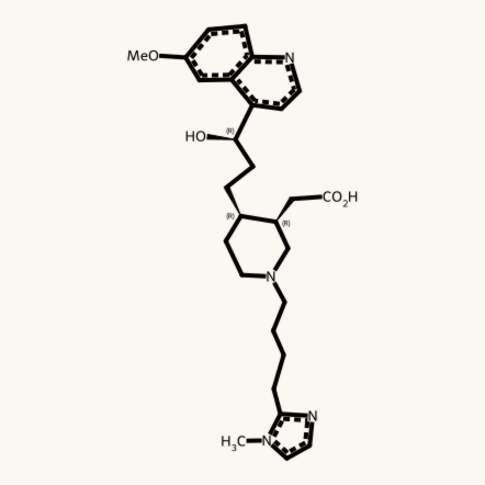 COc1ccc2nccc([C@H](O)CC[C@@H]3CCN(CCCCc4nccn4C)C[C@@H]3CC(=O)O)c2c1